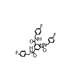 O=C(NCc1ccc(F)cc1)c1cc(C(=O)NCc2ccc(F)cc2)cc(C(=O)NCc2ccc(F)cc2)c1